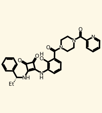 CC[C@@H](Nc1c(Nc2cccc(C(=O)N3CCN(C(=O)c4ccccn4)CC3)c2O)c(=O)c1=O)c1ccccc1